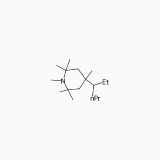 CCCC(CC)C1(C)CC(C)(C)N(C)C(C)(C)C1